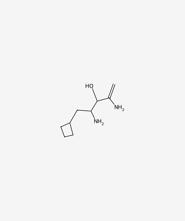 C=C(N)C(O)C(N)CC1CCC1